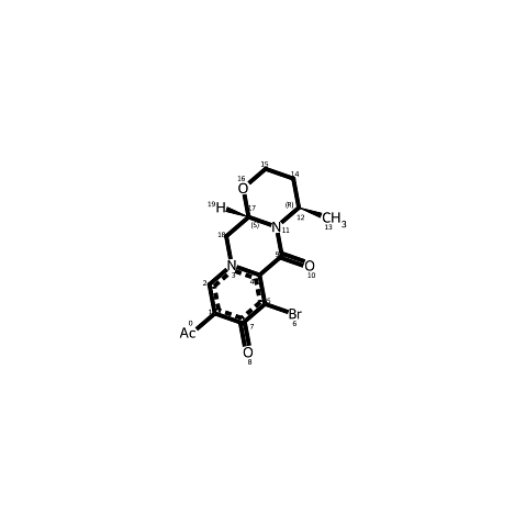 CC(=O)c1cn2c(c(Br)c1=O)C(=O)N1[C@H](C)CCO[C@H]1C2